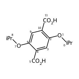 CC(C)Oc1cc(C(=O)O)c(OC(C)C)cc1C(=O)O